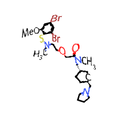 COc1cc(Br)cc(Br)c1SN(C)CCOCC(=O)N(C)C[C@H]1CC[C@H](CN2CCCC2)CC1